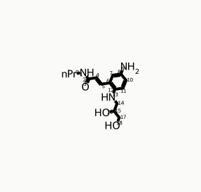 CCCNC(=O)C=Cc1cc(N)ccc1NCC(O)CO